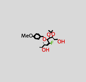 COc1ccc(CO[C@H](/C(F)=C\[C@@H](C)[C@H](C)O)[C@H]2OC(C)(C)O[C@H]2CCO)cc1